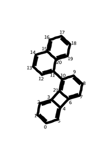 c1ccc2c(c1)-c1cccc(-c3cccc4ccccc34)c1-2